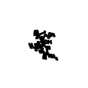 C[C@]1(CC(O)N2CC(F)CC2CO)C=C(Cl)C(N)=CC1